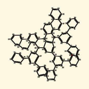 c1ccc(-c2cc(-c3ccccc3)cc(N3c4cc(-c5cc(-c6ccccc6)nc(-c6ccccc6)n5)cc5c4B(c4ccc6c(ccc7ccccc76)c43)c3ccc4c(ccc6ccccc64)c3N5c3cc(-c4ccccc4)cc(-c4ccccc4)c3)c2)cc1